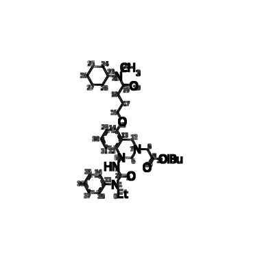 CCN(C(=O)NN1CN(CC(=O)OCC(C)C)Cc2c(OCCCC(=O)N(C)C3CCCCC3)cccc21)c1ccccc1